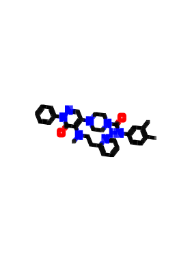 Cc1ccc(NC(=O)N2CCN(c3cnn(-c4ccccc4)c(=O)c3N(C)CCc3ccccn3)CC2)cc1C